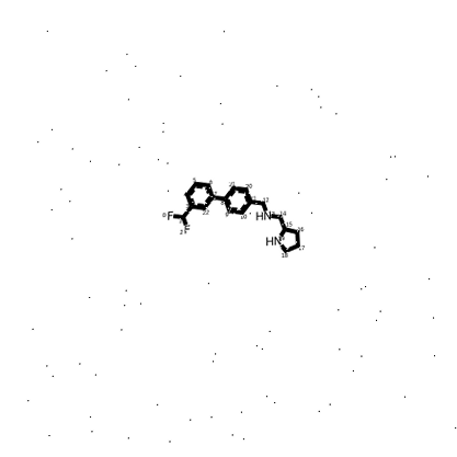 FC(F)c1cccc(-c2ccc(CNCC3CCCN3)cc2)c1